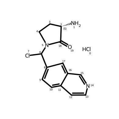 Cl.N[C@H]1CCN(C(Cl)c2ccc3ccncc3c2)C1=O